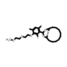 COCCOCCOc1c(I)cc(I)c(C2OC3CCCCCCCCCC(CC3)O2)c1I